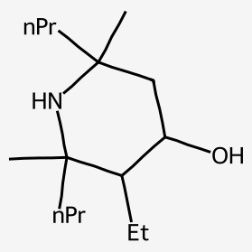 CCCC1(C)CC(O)C(CC)C(C)(CCC)N1